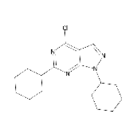 Clc1nc(C2CCCCC2)nc2c1cnn2C1CCCCC1